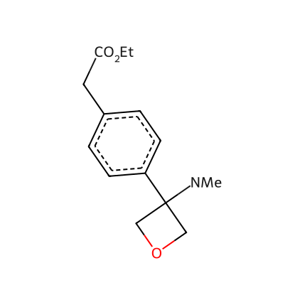 CCOC(=O)Cc1ccc(C2(NC)COC2)cc1